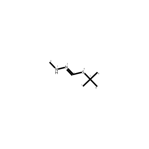 CN/N=C/SC(C)(C)C